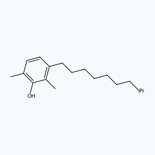 Cc1ccc(CCCCCCCC(C)C)c(C)c1O